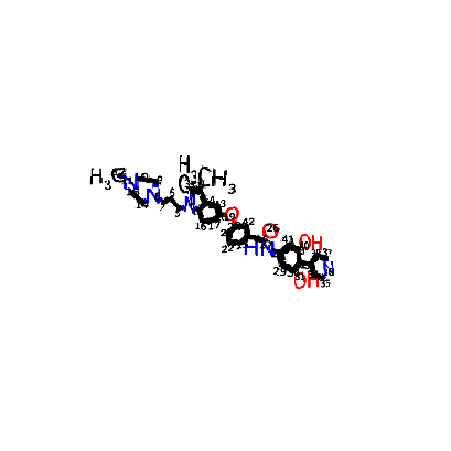 Cc1c(C)n(CCCN2CCN(C)CC2)c2ccc(Oc3cccc(C(=O)Nc4cc(O)c(-c5ccncc5)c(O)c4)c3)cc12